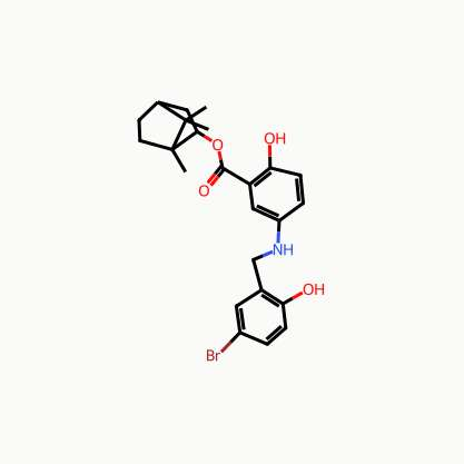 CC1(C)C2CCC1(C)C(OC(=O)c1cc(NCc3cc(Br)ccc3O)ccc1O)C2